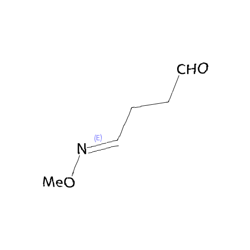 CO/N=C/CCC=O